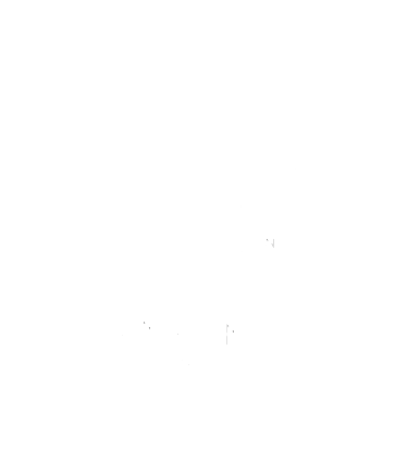 O=C(c1cc(-c2csc(Cc3ccccc3)n2)c[nH]1)N1CCCC1